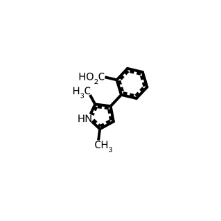 Cc1cc(-c2ccccc2C(=O)O)c(C)[nH]1